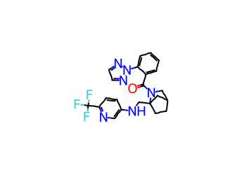 O=C(c1ccccc1-n1nccn1)N1CC2CCC1(CNc1ccc(C(F)(F)F)nc1)C2